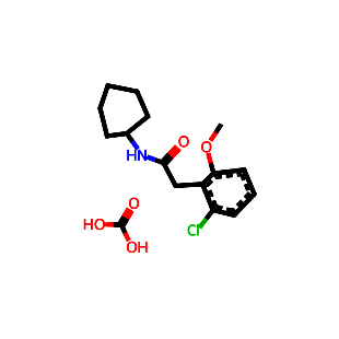 COc1cccc(Cl)c1CC(=O)NC1CCCCC1.O=C(O)O